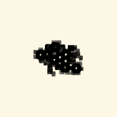 Bc1c(B)c(B)c2c(-c3cccc4oc5c6ccccc6ccc5c34)c3c(B)c(B)c(B)c(B)c3c(-c3cccc(-c4ccccc4)c3)c2c1B